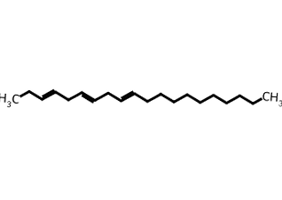 CCC=CCC=CCC=CCCCCCCCCCC